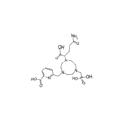 NC(=O)CCC(C(=O)O)N1CCN(Cc2cccc(C(=O)O)n2)CCN(CP(=O)(O)O)CC1